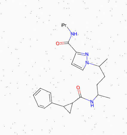 CC(C)NC(=O)c1ccn(C(C)CCC(C)NC(=O)C2CC2c2ccccc2)n1